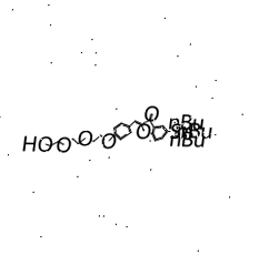 CCC[CH2][Sn]([CH2]CCC)([CH2]CCC)[c]1ccc2c(c1)C(=O)/C(=C/c1ccc(OCCOCCOCCO)cc1)O2